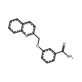 NC(=O)c1cccc(OCc2ccc3ccccc3n2)c1